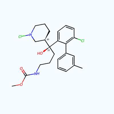 COC(=O)NCCC[C@@](O)(c1cccc(Cl)c1-c1cccc(C)c1)[C@@H]1CCCN(Cl)C1